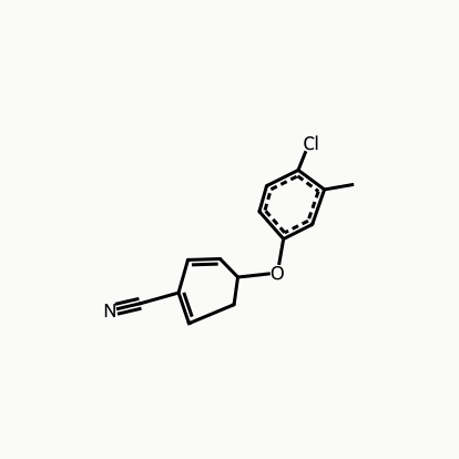 Cc1cc(OC2C=CC(C#N)=CC2)ccc1Cl